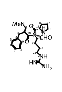 CNCC(Cc1ccccc1)C(=O)N(C(=O)[C@@H]1CCCN1)[C@H](C=O)CCCNC(=N)N